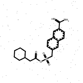 N=C(N)c1ccc2cc(CS(=O)(=O)OC(=O)CC3CCCCC3)ccc2c1